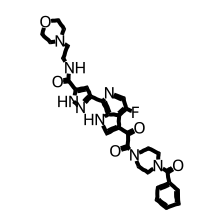 O=C(NCCN1CCOCC1)c1cc(-c2ncc(F)c3c(C(=O)C(=O)N4CCN(C(=O)c5ccccc5)CC4)c[nH]c23)n[nH]1